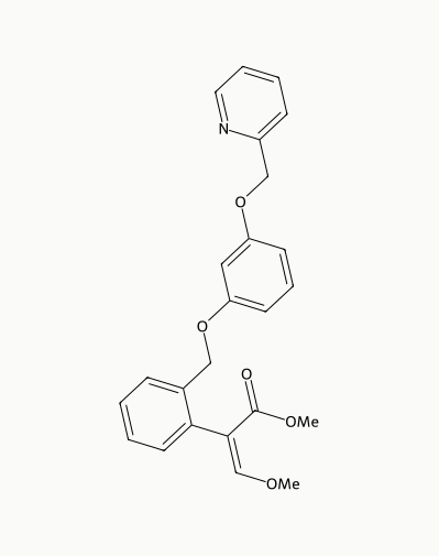 COC=C(C(=O)OC)c1ccccc1COc1cccc(OCc2ccccn2)c1